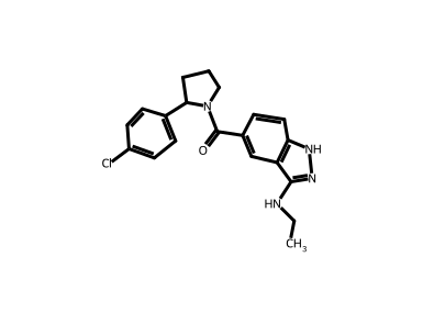 CCNc1n[nH]c2ccc(C(=O)N3CCCC3c3ccc(Cl)cc3)cc12